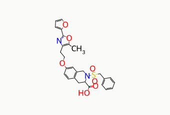 Cc1oc(-c2ccco2)nc1CCOc1ccc2c(c1)CN(S(=O)(=O)Cc1ccccc1)C(C(=O)O)C2